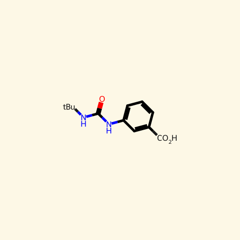 CC(C)(C)NC(=O)Nc1cccc(C(=O)O)c1